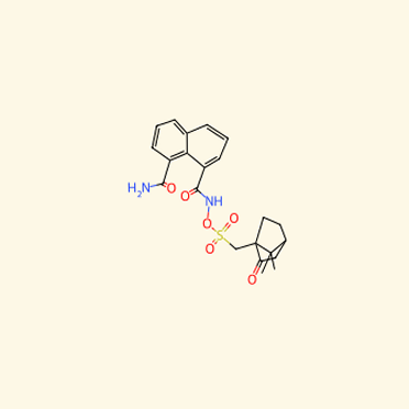 CC1(C)C2CCC1(CS(=O)(=O)ONC(=O)c1cccc3cccc(C(N)=O)c13)C(=O)C2